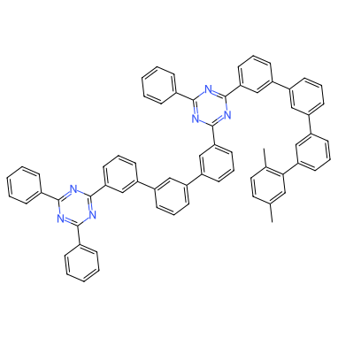 Cc1ccc(C)c(-c2cccc(-c3cccc(-c4cccc(-c5nc(-c6ccccc6)nc(-c6cccc(-c7cccc(-c8cccc(-c9nc(-c%10ccccc%10)nc(-c%10ccccc%10)n9)c8)c7)c6)n5)c4)c3)c2)c1